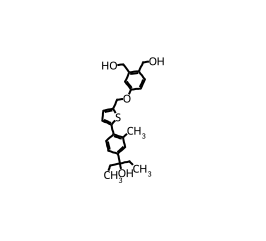 CCC(O)(CC)c1ccc(-c2ccc(COc3ccc(CO)c(CO)c3)s2)c(C)c1